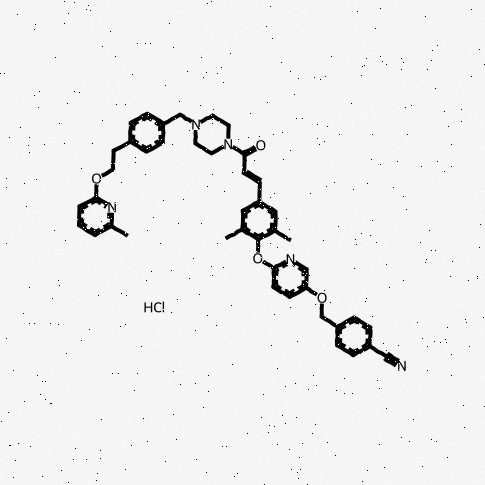 Cc1cccc(OCCc2ccc(CN3CCN(C(=O)/C=C/c4cc(C)c(Oc5ccc(OCc6ccc(C#N)cc6)cn5)c(C)c4)CC3)cc2)n1.Cl